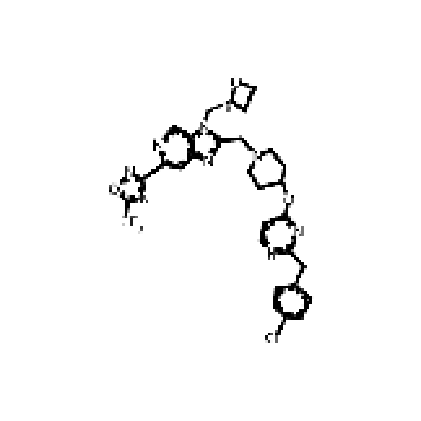 FC(F)(F)c1nc(-c2cc3nc(CN4CCC(Oc5ccnc(Cc6ccc(Cl)cc6)n5)CC4)n(C[C@@H]4CCO4)c3cn2)no1